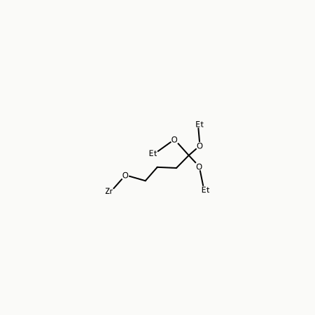 CCOC(CCC[O][Zr])(OCC)OCC